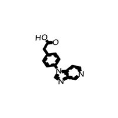 O=C(O)Cc1ccc(-n2cnc3cnccc32)cc1